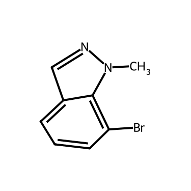 Cn1ncc2cccc(Br)c21